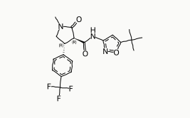 CN1C[C@@H](c2ccc(C(F)(F)F)cc2)[C@H](C(=O)Nc2cc(C(C)(C)C)on2)C1=O